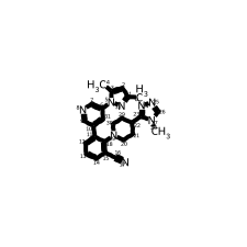 Cc1cc(C)n(-c2cncc(-c3cccc(C#N)c3N3CCC(c4nncn4C)CC3)c2)n1